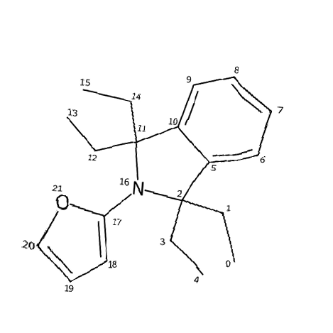 CCC1(CC)c2ccccc2C(CC)(CC)N1c1ccco1